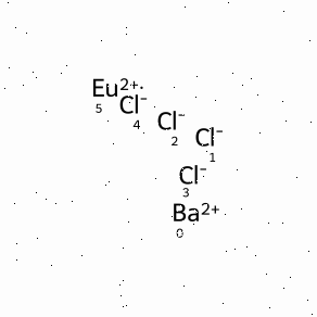 [Ba+2].[Cl-].[Cl-].[Cl-].[Cl-].[Eu+2]